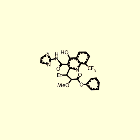 CCC(c1nc2c(C(F)(F)F)cccc2c(O)c1C(=O)Nc1nccs1)C(OC)C(=O)Oc1ccccc1